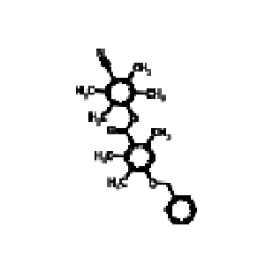 Cc1cc(OCc2ccccc2)c(C)c(C)c1C(=O)Oc1c(C)c(C)c(C#N)c(C)c1C